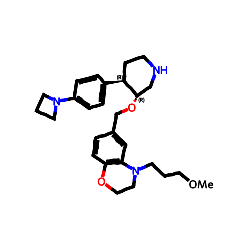 COCCCN1CCOc2ccc(CO[C@H]3CNCC[C@@H]3c3ccc(N4CCC4)cc3)cc21